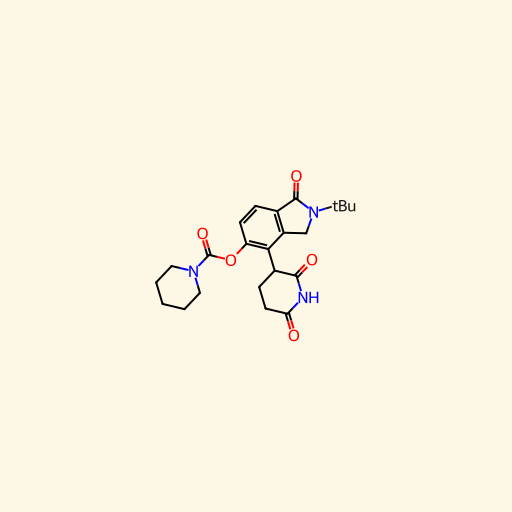 CC(C)(C)N1Cc2c(ccc(OC(=O)N3CCCCC3)c2C2CCC(=O)NC2=O)C1=O